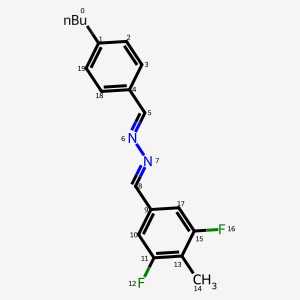 CCCCc1ccc(/C=N/N=C/c2cc(F)c(C)c(F)c2)cc1